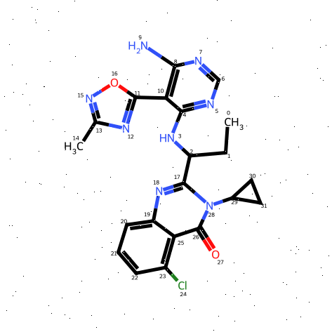 CCC(Nc1ncnc(N)c1-c1nc(C)no1)c1nc2cccc(Cl)c2c(=O)n1C1CC1